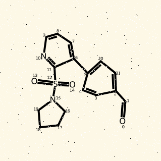 O=Cc1ccc(-c2cccnc2S(=O)(=O)N2CCCC2)cc1